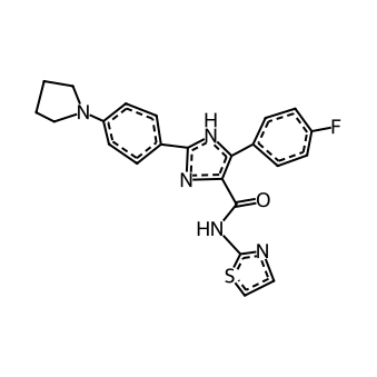 O=C(Nc1nccs1)c1nc(-c2ccc(N3CCCC3)cc2)[nH]c1-c1ccc(F)cc1